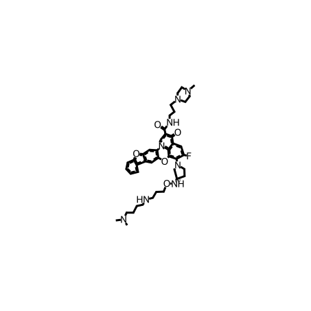 CN(C)CCCCNCCCON[C@@H]1CCN(c2c(F)cc3c(=O)c(C(=O)NCCCN4CCN(C)CC4)cn4c3c2Oc2cc3c(cc2-4)oc2ccccc23)C1